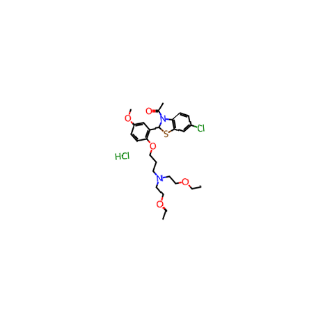 CCOCCN(CCCOc1ccc(OC)cc1C1Sc2cc(Cl)ccc2N1C(C)=O)CCOCC.Cl